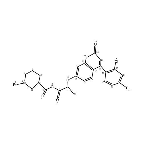 CCN1CCCC(C(=O)OC(=O)C(C)Oc2ccc3c(-c4ccc(F)cc4Cl)cc(=O)oc3c2)C1